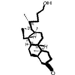 C[C@H](CCCO)[C@H]1CC[C@H]2[C@@H]3CC=C4CC(=O)CC[C@]4(C)[C@H]3CC[C@]12C